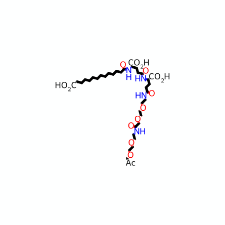 CC(=O)COCCOCCNC(=O)COCCOCCNC(=O)CC[C@H](NC(=O)CC[C@H](NC(=O)CCCCCCCCCCCCC(=O)O)C(=O)O)C(=O)O